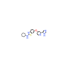 c1cc(Oc2ccc3nc(NC4CCCCC4)sc3c2)cc(-c2cnc[nH]2)n1